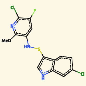 COc1nc(Cl)c(F)cc1NSc1c[nH]c2cc(Cl)ccc12